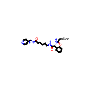 CCCCCCCCCCCC(=O)N[C@@H](C(=O)NCCCCCC(=O)NCc1ccncc1)c1ccccc1